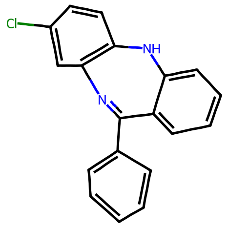 Clc1ccc2c(c1)N=C(c1ccccc1)c1ccccc1N2